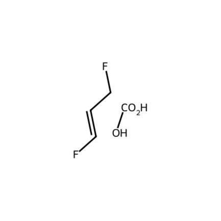 FC=CCF.O=C(O)O